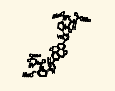 COC[C@H]1CC[C@@H](c2ncc(-c3cc4c5c(c3)OCc3cc(-c6cnc([C@@H]7CC[C@H](COC)N7C(=O)N(CC(=O)OC)C(C)C)[nH]6)cc(c3-5)OC4)[nH]2)N1C(=O)[C@@H](NC(=O)OC)C(C)C